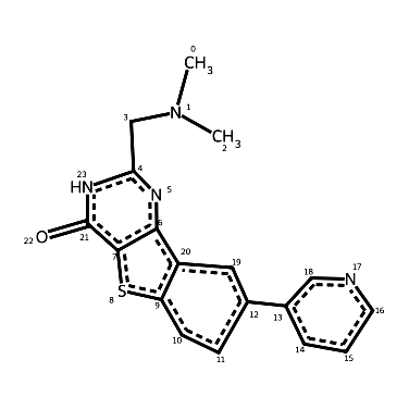 CN(C)Cc1nc2c(sc3ccc(-c4cccnc4)cc32)c(=O)[nH]1